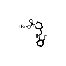 CC(C)(C)OC(=O)N1CCCC(CNc2ccccc2F)C1